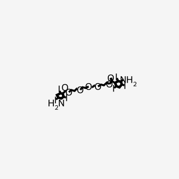 Nc1c(I)cc(I)c(C(=O)OCCCOCCOCCOCCCOC(=O)c2c(I)cc(I)c(N)c2I)c1I